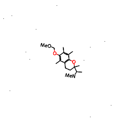 CNC(C)C1(C)CCc2c(C)c(OCOC)c(C)c(C)c2O1